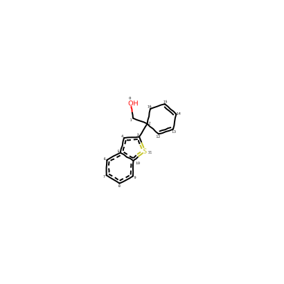 OCC1(c2cc3ccccc3s2)C=CC=CC1